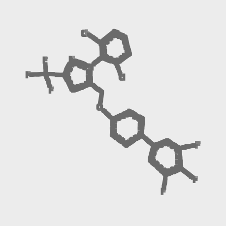 Fc1cc(-c2ccc(OCc3cc(C(F)(F)F)nn3-c3c(Cl)cccc3Cl)cc2)cc(F)c1F